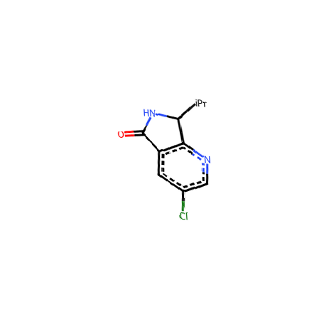 CC(C)C1NC(=O)c2cc(Cl)cnc21